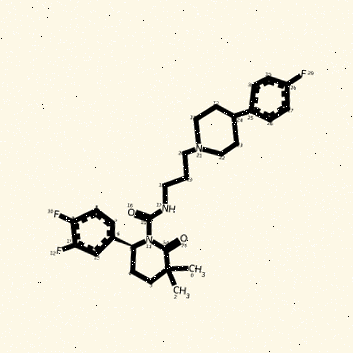 CC1(C)CC[C@@H](c2ccc(F)c(F)c2)N(C(=O)NCCCN2CCC(c3ccc(F)cc3)CC2)C1=O